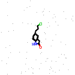 O=C1Cc2cc(CCCCl)ccc2N1